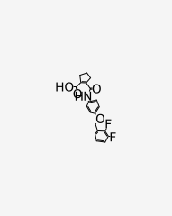 O=C(O)C1=C(C(=O)Nc2ccc(OCc3cccc(F)c3F)cc2)CCC1